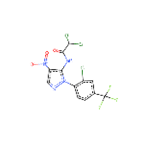 O=C(Nc1c([N+](=O)[O-])cnn1-c1ccc(C(F)(F)F)cc1Cl)C(Cl)Cl